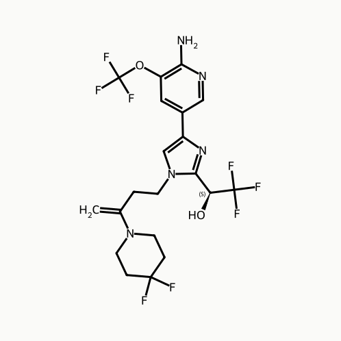 C=C(CCn1cc(-c2cnc(N)c(OC(F)(F)F)c2)nc1[C@H](O)C(F)(F)F)N1CCC(F)(F)CC1